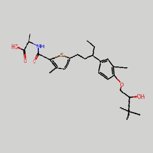 CCC(CCc1cc(C)c(C(=O)NC(C)C(=O)O)s1)c1ccc(OCC(O)C(C)(C)C)c(C)c1